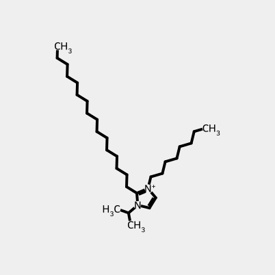 CCCCCCCCCCCCCCCCc1n(C(C)C)cc[n+]1CCCCCCCC